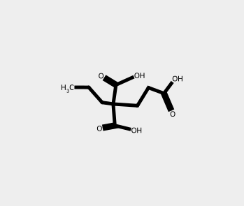 CCCC(CCC(=O)O)(C(=O)O)C(=O)O